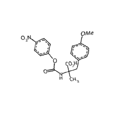 COc1ccc(CC(C)(NC(=O)Oc2ccc([N+](=O)[O-])cc2)C(=O)O)cc1